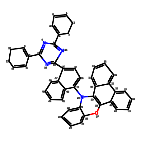 C1=CCCC(c2nc(C3=CCCC=C3)nc(-c3ccc(N4c5ccccc5Oc5c4c4ccccc4c4ccccc54)c4ccccc34)n2)=C1